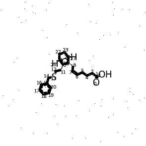 O=C(O)CCC/C=C\C[C@@H]1[C@H](CCSCc2ccccc2)[C@@H]2CC[C@H]1O2